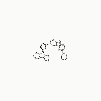 c1ccc(-c2ccc3oc4ccc(-c5cccc(-n6c7ccccc7c7ccccc76)c5)cc4c3n2)cc1